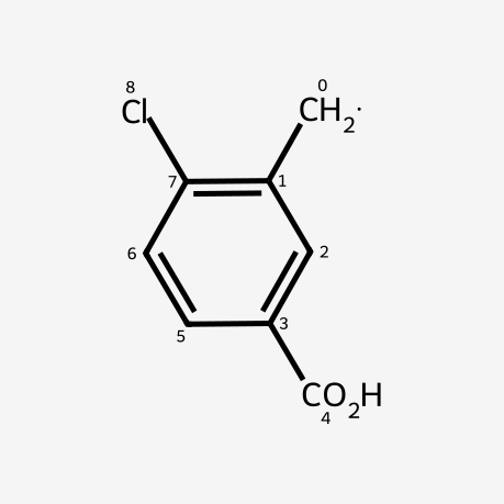 [CH2]c1cc(C(=O)O)ccc1Cl